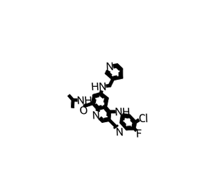 CC(C)NC(=O)c1cc(NCc2cccnc2)cc2c(Nc3ccc(F)c(Cl)c3)c(C#N)cnc12